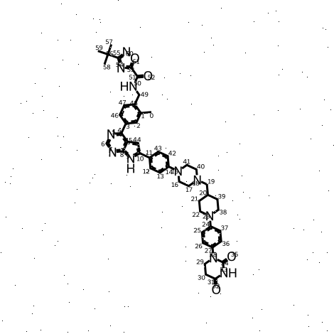 Cc1cc(-c2ncnc3[nH]c(-c4ccc(N5CCN(CC6CCN(c7ccc(N8CCC(=O)NC8=O)cc7)CC6)CC5)cc4)cc23)ccc1CNC(=O)c1nc(C(C)(C)C)no1